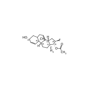 CC(=O)O[C@H]1[C@H](F)C[C@H]2C3=CCC4C[C@@H](O)C=C[C@]4(C)[C@H]3CC[C@@]21C